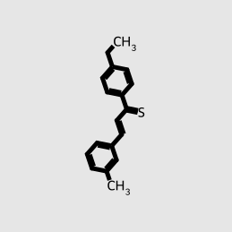 CCc1ccc(C(=S)C=Cc2cccc(C)c2)cc1